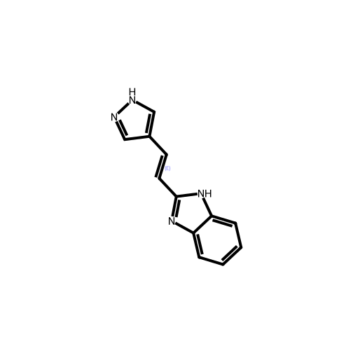 C(=C\c1nc2ccccc2[nH]1)/c1cn[nH]c1